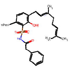 CCCCCc1ccc(C/C=C(\C)CCC=C(C)C)c(O)c1S(=O)(=O)NC(=O)Cc1ccccc1